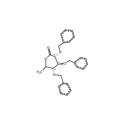 CC1OC(=O)[C@H](OCc2ccccc2)[C@@H](OCc2ccccc2)[C@@H]1OCc1ccccc1